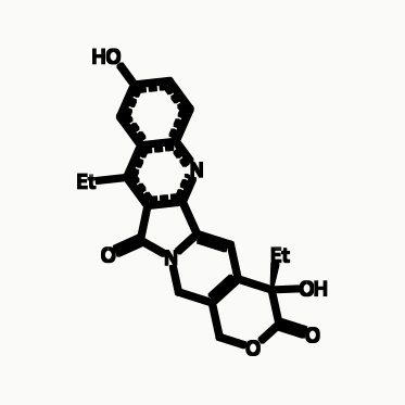 CCc1c2c(nc3ccc(O)cc13)C1=CC3=C(COC(=O)[C@]3(O)CC)CN1C2=O